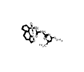 COc1cc(C)nc(NC(=O)NS(=O)(=O)c2cccc3c2-c2oncc2CC3)n1